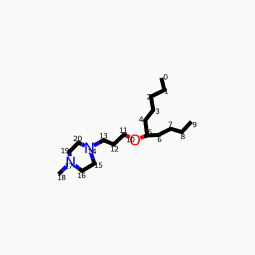 CCCCCC(CCCC)OCCCN1CCN(C)CC1